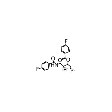 CC(C)CC(OC(=O)c1ccc(F)cc1)C(CNC(=O)c1ccc(F)cc1)C(C)C